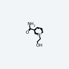 NC(=O)c1ccc[n+](CCO)c1